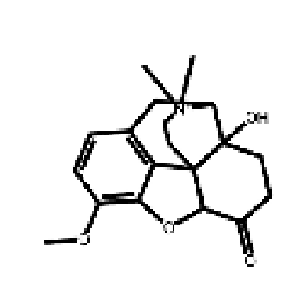 COc1ccc2c3c1OC1C(=O)CCC4(O)C(C2)[N+](C)(C)CCC314